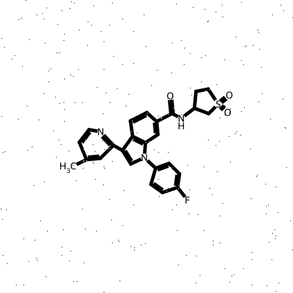 Cc1ccnc(-c2cn(-c3ccc(F)cc3)c3cc(C(=O)NC4CCS(=O)(=O)C4)ccc23)c1